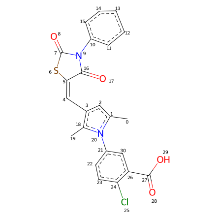 Cc1cc(/C=C2/SC(=O)N(c3ccccc3)C2=O)c(C)n1-c1ccc(Cl)c(C(=O)O)c1